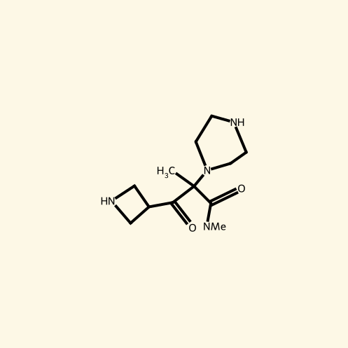 CNC(=O)C(C)(C(=O)C1CNC1)N1CCNCC1